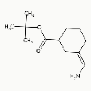 CC(C)(C)OC(=O)C1CCCC(=CN)C1